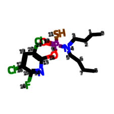 CCCCN(CCCC)P(=O)(S)Oc1nc(F)c(Cl)cc1Cl